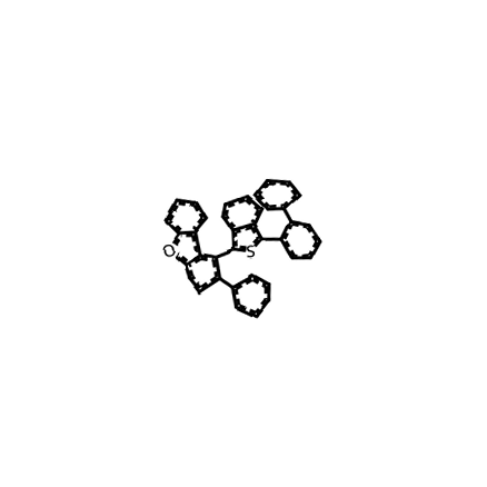 c1ccc(-c2ccccc2-c2sc(-c3c(-c4ccccc4)ccc4oc5ccccc5c34)c3ccccc23)cc1